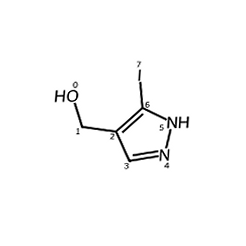 OCc1cn[nH]c1I